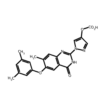 Cc1cc(C)cc(Oc2cc3c(=O)[nH]c(-n4cc(OC(=O)O)cn4)nc3cc2C)c1